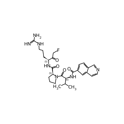 CC(C)[C@H](NC(=O)c1ccc2cnccc2c1)C(=O)N1CCC[C@H]1C(=O)N[C@@H](CCCNC(=N)N)C(=O)CF